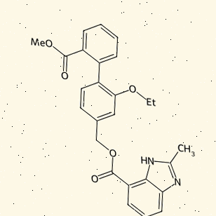 CCOc1cc(COC(=O)c2cccc3nc(C)[nH]c23)ccc1-c1ccccc1C(=O)OC